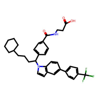 O=C(O)CCNC(=O)c1ccc(C(CCCC2CCCCC2)n2ccc3cc(-c4ccc(C(F)(F)F)cc4)ccc32)cc1